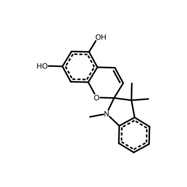 CN1c2ccccc2C(C)(C)C12C=Cc1c(O)cc(O)cc1O2